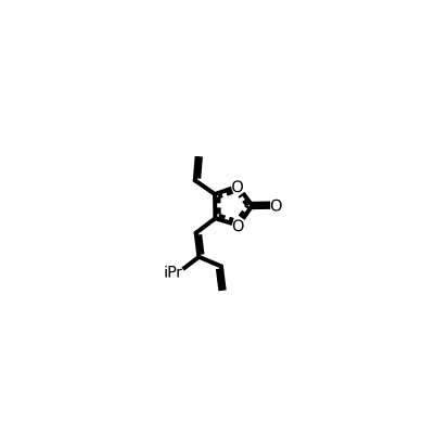 C=C/C(=C\c1oc(=O)oc1C=C)C(C)C